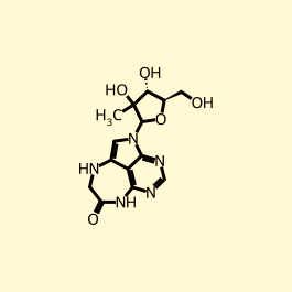 CC1(O)C(n2cc3c4c(ncnc42)NC(=O)CN3)O[C@H](CO)[C@H]1O